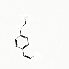 C/C=C\c1ccc(OC[SiH3])cc1